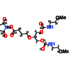 COCCNC(=O)OCC(COC(=O)NCCOC)OCCCC(=O)ON1C(=O)C=CC1=O